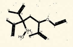 C=COC(CC([SiH2]O)(C(=C)C)C(=C)C)C(=C)C